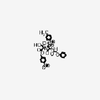 C/C(O)=C(/C(=O)OCc1ccc([N+](=O)[O-])cc1)N1C(=O)C(NC(=O)COc2ccccc2)C1SS(=O)(=O)c1ccc(C)cc1